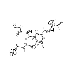 C=CC(=O)NCc1cc(C)c(OCCCO)c(CNC(=O)C=C)c1